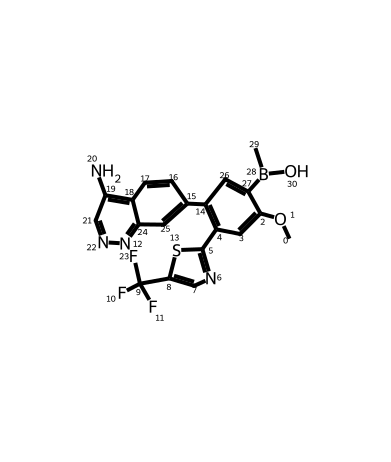 COc1cc(-c2ncc(C(F)(F)F)s2)c(-c2ccc3c(N)cnnc3c2)cc1B(C)O